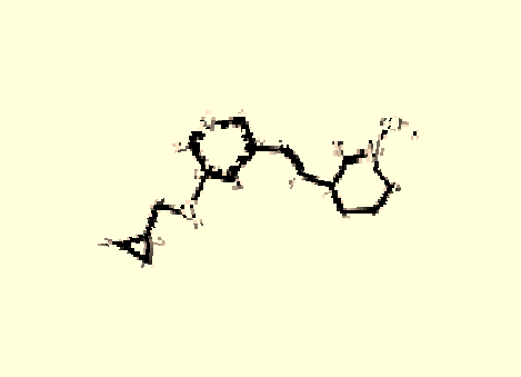 CN1CCCC(C=Cc2cncc(OCC3CC3)c2)C1